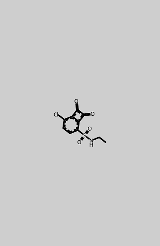 CCNS(=O)(=O)c1ccc(Cl)c2c(=O)c(=O)c12